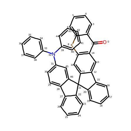 O=c1c2ccccc2sc2cc3c(cc12)-c1ccccc1C31c2ccccc2-c2ccc(N(c3ccccc3)c3ccccc3)cc21